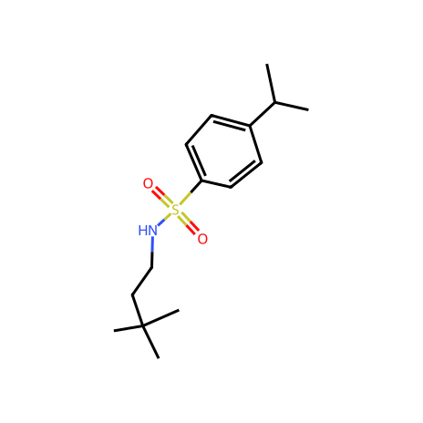 CC(C)c1ccc(S(=O)(=O)NCCC(C)(C)C)cc1